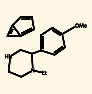 CCN1CCNCC1c1ccc(OC)cc1.c1cc2cc-2c1